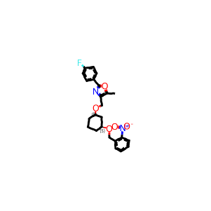 Cc1oc(-c2ccc(F)cc2)nc1CO[C@@H]1CCC[C@H](OCc2ccccc2[N+](=O)[O-])C1